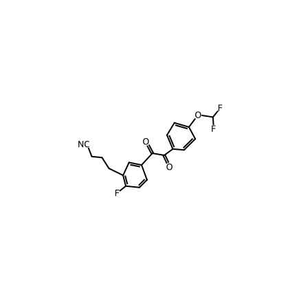 N#CCCCc1cc(C(=O)C(=O)c2ccc(OC(F)F)cc2)ccc1F